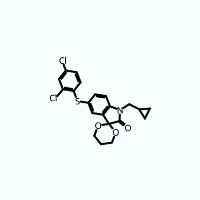 O=C1N(CC2CC2)c2ccc(Sc3ccc(Cl)cc3Cl)cc2C12OCCCO2